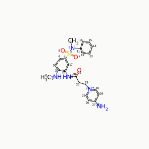 CNc1ccc(S(=O)(=O)N(C)c2ccccc2)cc1NC(=O)CC[n+]1ccc(N)cc1